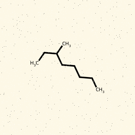 C[CH]C(C)CCCCC